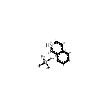 F[B-](F)(F)F.c1ccc2n[nH+]ccc2c1